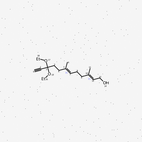 C#CC(CC/C(C)=C/CC/C(C)=C/CO)(OCC)OCC